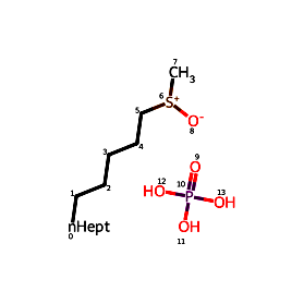 CCCCCCCCCCCC[S+](C)[O-].O=P(O)(O)O